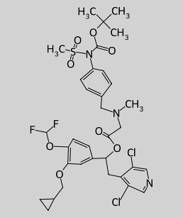 CN(CC(=O)OC(Cc1c(Cl)cncc1Cl)c1ccc(OC(F)F)c(OCC2CC2)c1)Cc1ccc(N(C(=O)OC(C)(C)C)S(C)(=O)=O)cc1